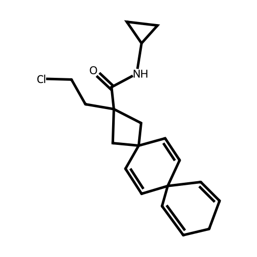 O=C(NC1CC1)C1(CCCl)CC2(C=CC3(C=CCC=C3)C=C2)C1